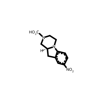 O=C(O)N1CCN2c3ccc([N+](=O)[O-])cc3C[C@H]2C1